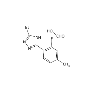 CCc1nnc(-c2ccc(C)cc2F)[nH]1.O=CO